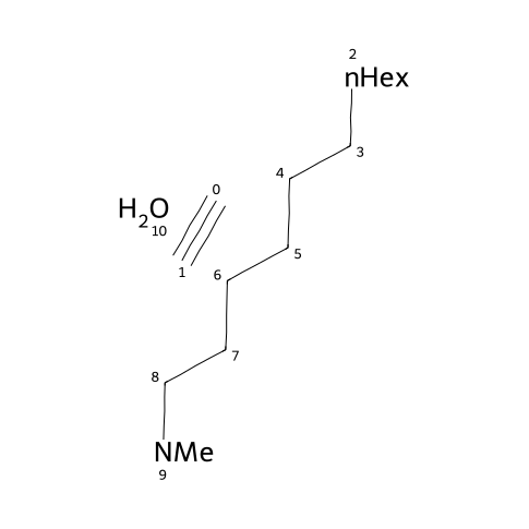 C#C.CCCCCCCCCCCCNC.O